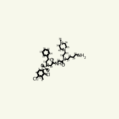 Cc1c(Cl)ccc(S(=O)(=O)N(CCc2ccccc2)CC(=O)NCC(=O)N(CCCCN)CCN2CCN(C)CC2)c1Cl